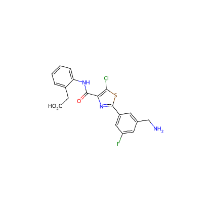 NCc1cc(F)cc(-c2nc(C(=O)Nc3ccccc3CC(=O)O)c(Cl)s2)c1